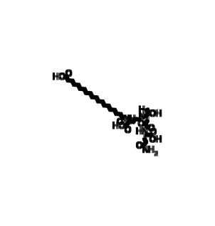 C=C(O)[C@H](CCC(=O)N[C@@H](CCC(N)=O)C(=O)O)NC(=O)CC[C@H](NC(=O)CCCCCCCCCCCCCCCCCCC(=O)O)C(=O)O